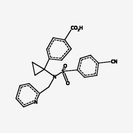 N#Cc1ccc(S(=O)(=O)N(Cc2ccccn2)C2(c3ccc(C(=O)O)cc3)CC2)cc1